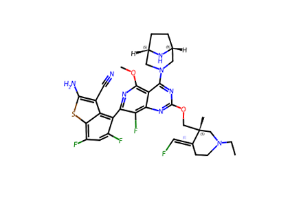 CCN1CC/C(=C\F)[C@](C)(COc2nc(N3C[C@H]4CC[C@@H](C3)N4)c3c(OC)nc(-c4c(F)cc(F)c5sc(N)c(C#N)c45)c(F)c3n2)C1